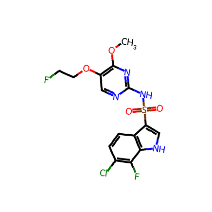 COc1nc(NS(=O)(=O)c2c[nH]c3c(F)c(Cl)ccc23)ncc1OCCF